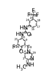 CNc1cc(Oc2c(F)cc(NC(=O)Nc3cccc(C(F)(F)F)c3)cc2F)ncn1